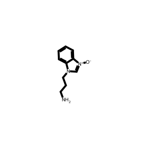 NCCCn1c[n+]([O-])c2ccccc21